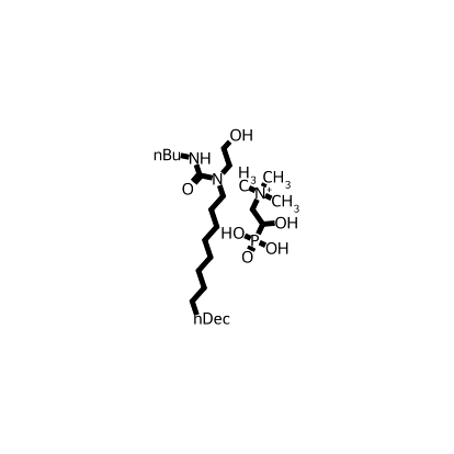 CCCCCCCCCCCCCCCCCCN(CCO)C(=O)NCCCC.C[N+](C)(C)CC(O)P(=O)(O)O